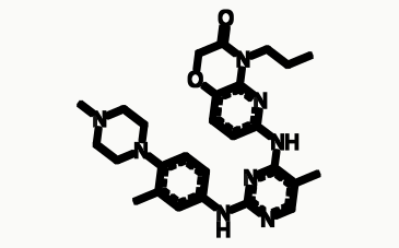 CCCN1C(=O)COc2ccc(Nc3nc(Nc4ccc(N5CCN(C)CC5)c(C)c4)ncc3C)nc21